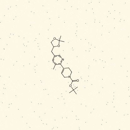 Cc1cc(CC2COC(C)(C)O2)cnc1C1=CCN(C(=O)OC(C)(C)C)CC1